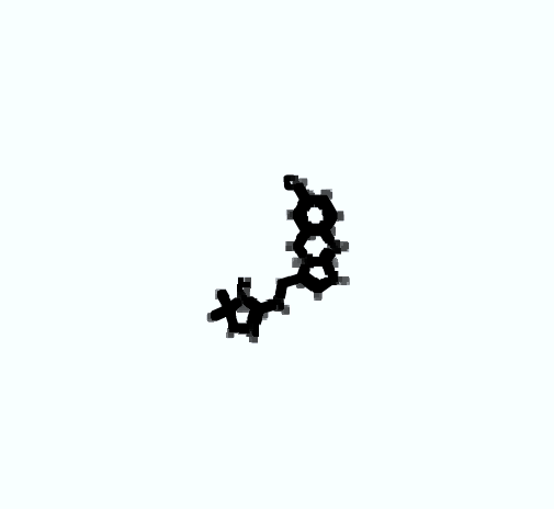 CC1(C)CN=C(SCC2=CSC3=Nc4ccc(Cl)cc4CN23)N1